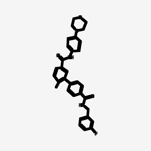 Cc1ccc(C(=O)Nc2ccc(N3CCOCC3)cc2)cc1-c1ccc(C(=O)NCc2cccc(F)c2)cc1